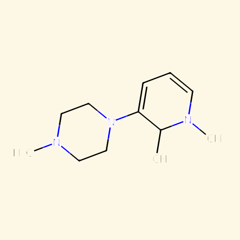 CC1C(N2CCN(C)CC2)=CC=CN1C